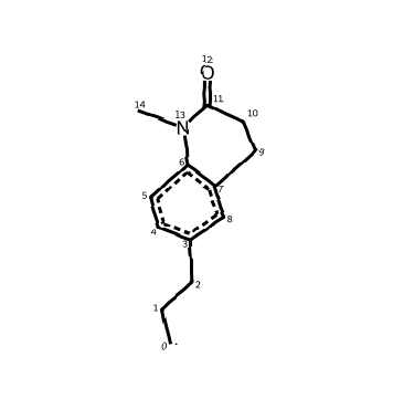 [CH2]CCc1ccc2c(c1)CCC(=O)N2C